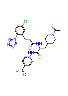 CC(=O)N1CCC(CC(NC(=O)C=Cc2cc(Cl)ccc2-n2cnnn2)C(=O)Nc2ccc(C(=O)O)cc2)CC1